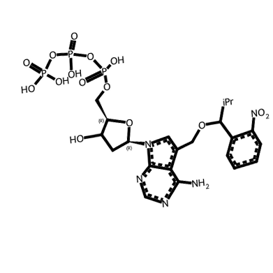 CC(C)C(OCc1cn([C@H]2CC(O)[C@@H](COP(=O)(O)OP(=O)(O)OP(=O)(O)O)O2)c2ncnc(N)c12)c1ccccc1[N+](=O)[O-]